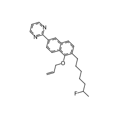 C=CCOc1c(CCCCCC(C)F)ccc2cc(-c3ncccn3)ccc12